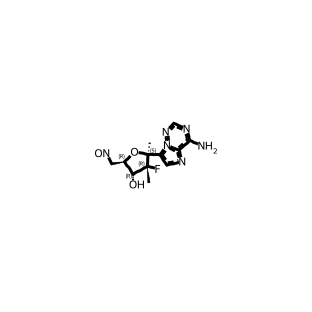 C[C@@]1(c2cnc3c(N)ncnn23)O[C@H](CN=O)[C@@H](O)[C@@]1(C)F